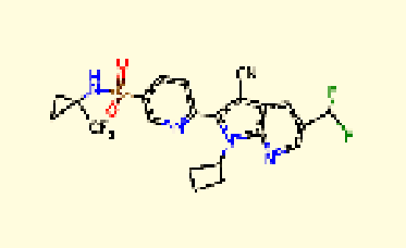 N#Cc1c(-c2ccc(S(=O)(=O)NC3(C(F)(F)F)CC3)cn2)n(C2CCC2)c2ncc(C(F)F)cc12